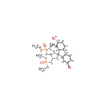 CCP(=O)(CC)CCCC1(CCCP(=O)(CC)CC)c2cc(Br)ccc2-c2ccc(Br)cc21